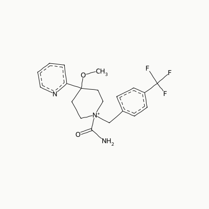 COC1(c2ccccn2)CC[N+](Cc2ccc(C(F)(F)F)cc2)(C(N)=O)CC1